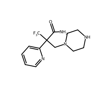 NC(=O)C(CN1CCNCC1)(c1ccccn1)C(F)(F)F